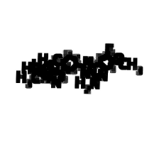 COc1cc2nc(N)n3nc(C4CCC(C)N(c5cnn(CC(C)(C)O)c5C)C4)nc3c2cc1F